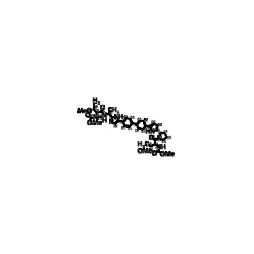 COC(=O)N[C@H](C(=O)N[C@@H](C)c1ncc(-c2ccc(-c3ccc(-c4ccc([C@@H]5CCCN5C(=O)[C@@H](NC(=O)OC)[C@@H](C)OC)[nH]4)cc3)cc2)[nH]1)[C@@H](C)OC